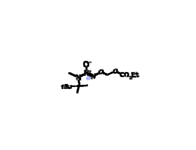 CCOC(=O)OCO/N=[N+](\[O-])N(C)C(C)(C)C(C)(C)C